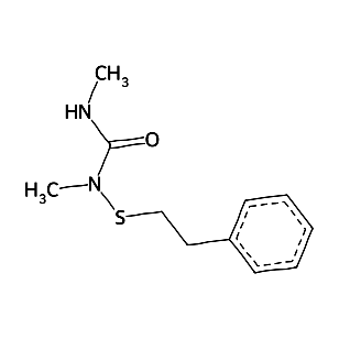 CNC(=O)N(C)SCCc1ccccc1